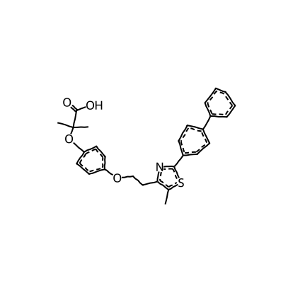 Cc1sc(-c2ccc(-c3ccccc3)cc2)nc1CCOc1ccc(OC(C)(C)C(=O)O)cc1